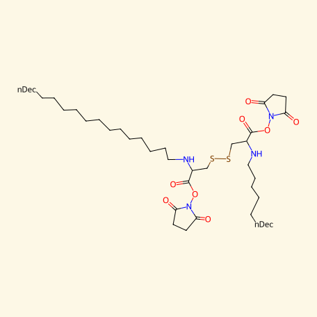 CCCCCCCCCCCCCCCCCCCCCCCNC(CSSCC(NCCCCCCCCCCCCCCC)C(=O)ON1C(=O)CCC1=O)C(=O)ON1C(=O)CCC1=O